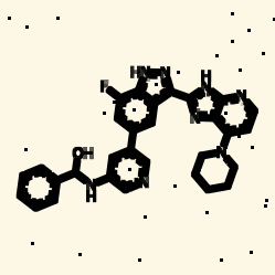 OC(Nc1cncc(-c2cc(F)c3[nH]nc(-c4nc5c(N6CCCCC6)ccnc5[nH]4)c3c2)c1)c1ccccc1